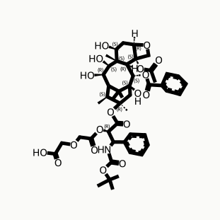 CC(=O)O[C@@]12CO[C@@H]1C[C@H](O)[C@@]1(C)[C@H](O)[C@H](O)C3[C@H](C)[C@](C)(OC(=O)[C@H](OC(=O)COCC(=O)O)C(NC(=O)OC(C)(C)C)c4ccccc4)C[C@@](O)([C@@H](OC(=O)c4ccccc4)[C@H]21)C3(C)C